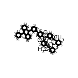 CC(C)(c1ccccc1)c1ccc2c(c1)B1c3cc(C(C)(C)c4ccccc4)ccc3Oc3cc(-c4cccc(-c5c6ccccc6c(-c6ccccc6)c6ccccc56)c4)cc(c31)O2